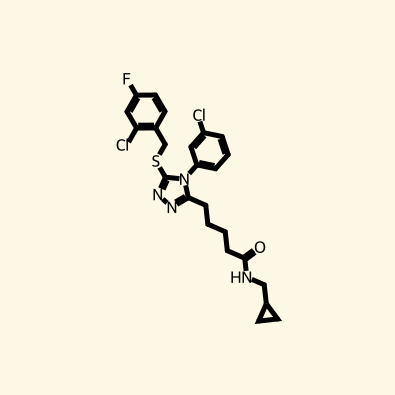 O=C(CCCCc1nnc(SCc2ccc(F)cc2Cl)n1-c1cccc(Cl)c1)NCC1CC1